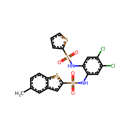 Cc1ccc2sc(S(=O)(=O)Nc3cc(Cl)c(Cl)cc3NS(=O)(=O)c3cccs3)cc2c1